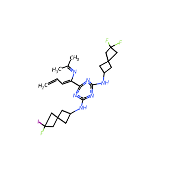 C=C/C=C(\N=C(C)C)c1nc(NC2CC3(C2)CC(F)(F)C3)nc(NC2CC3(C2)CC(F)(I)C3)n1